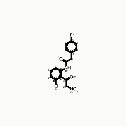 O=C(Cc1ccc(F)cc1)Nc1cccc(Cl)c1C(=O)C[N+](=O)[O-]